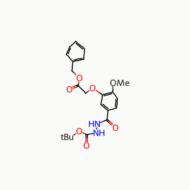 COc1ccc(C(=O)NNC(=O)OC(C)(C)C)cc1OCC(=O)OCc1ccccc1